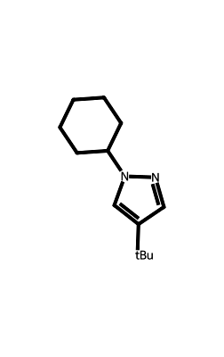 CC(C)(C)c1cnn(C2CCCCC2)c1